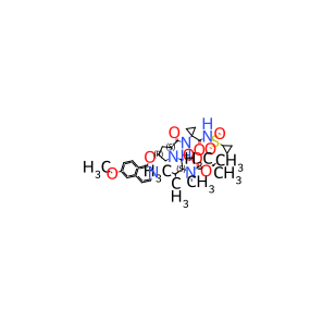 COc1ccc2c(O[C@@H]3C[C@@H](C(=O)NC4(C(=O)NS(=O)(=O)C5CC5)CC4)N(C(=O)[C@H](C(C)C)N(C)C(=O)OC(C)(C)C)C3)nccc2c1